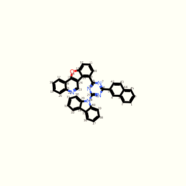 c1ccc2cc(-c3nc(-c4cccc5oc6c7ccccc7ncc6c45)nc(-n4c5ccccc5c5ccccc54)n3)ccc2c1